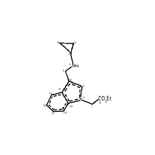 CCOC(=O)Cn1cc(CNC2CC2)c2ccccc21